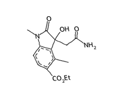 CCOC(=O)c1ccc2c(c1C)C(O)(CC(N)=O)C(=O)N2C